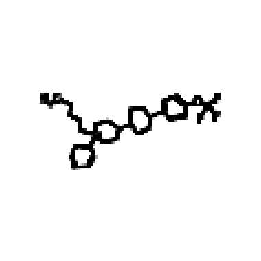 CCCCC[Si]1(c2ccccc2)CCC(C2CCC(c3ccc(OC(F)(F)F)cc3)CC2)CC1